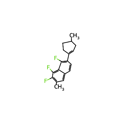 Cc1cc2ccc(C3=CCC(C)CC3)c(F)c2c(F)c1F